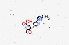 Cn1ccc(-c2ccc(Cc3cc(C(=O)O)nc4c3OCC4)cn2)n1